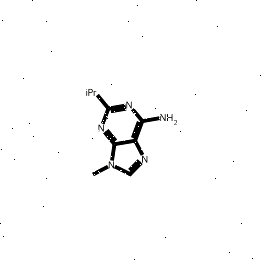 CC(C)c1nc(N)c2ncn(C)c2n1